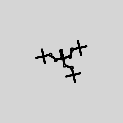 CC(C)(C)O[O][Sb](=[O])([O]OC(C)(C)C)[O]OC(C)(C)C